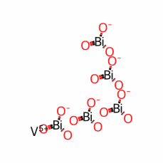 [O]=[Bi](=[O])[O-].[O]=[Bi](=[O])[O-].[O]=[Bi](=[O])[O-].[O]=[Bi](=[O])[O-].[O]=[Bi](=[O])[O-].[V+5]